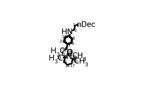 CCCCCCCCCCCCNc1ccc(C(C)ON2C(C)(C)CCCC2(C)C)cc1